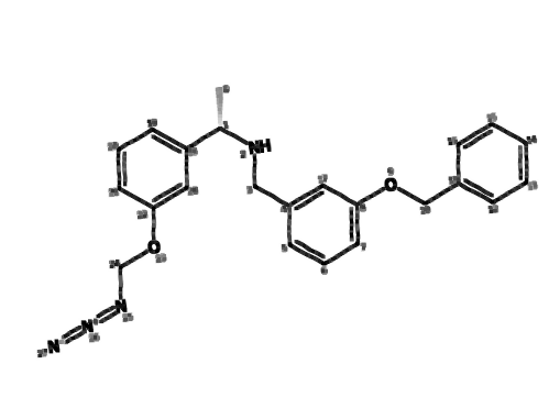 C[C@H](NCc1cccc(OCc2ccccc2)c1)c1cccc(OCN=[N+]=[N-])c1